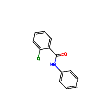 O=C(Nc1cc[c]cc1)c1ccccc1Cl